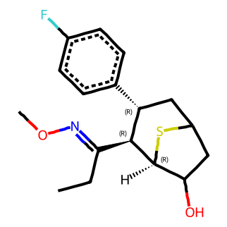 CCC(=NOC)[C@H]1[C@H](c2ccc(F)cc2)CC2CC(O)[C@@H]1S2